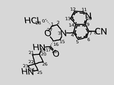 C[C@@H]1CN(c2ccc(C#N)c3ncccc23)C[C@H](C(=O)NC2CC3(CNC3)C2)O1.Cl